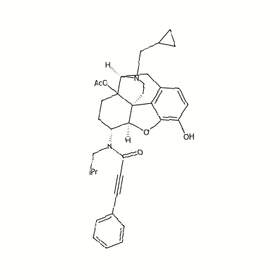 CC(=O)OC12CC[C@@H](N(CC(C)C)C(=O)C#Cc3ccccc3)[C@@H]3Oc4c(O)ccc5c4[C@@]31CCN(CC1CC1)[C@@H]2C5